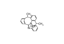 CC(C)c1cccc2c1-n1c(nc3ccccc31)-c1cccc(c1)C2C